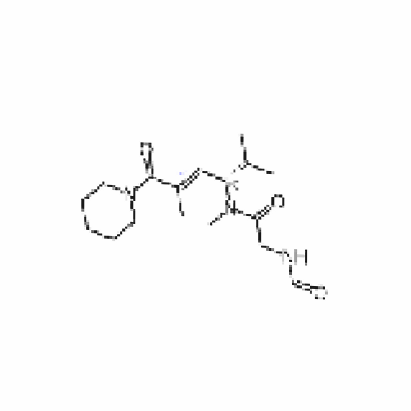 C/C(=C\[C@H](C(C)C)N(C)C(=O)CNC=O)C(=O)N1CCCCC1